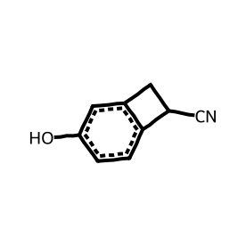 N#CC1Cc2cc(O)ccc21